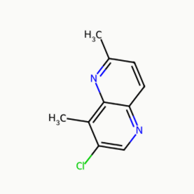 Cc1ccc2ncc(Cl)c(C)c2n1